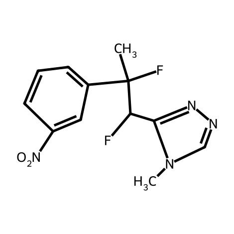 Cn1cnnc1C(F)C(C)(F)c1cccc([N+](=O)[O-])c1